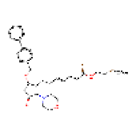 COSCCOC(=S)CCC=CCCC1C(OCc2ccc(-c3ccccc3)cc2)CC(=O)C1N1CCOCC1